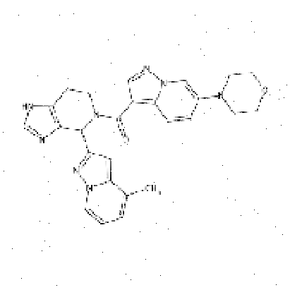 Cc1cccn2nc(C3c4nc[nH]c4CCN3C(=O)c3cnn4cc(N5CCOCC5)ccc34)cc12